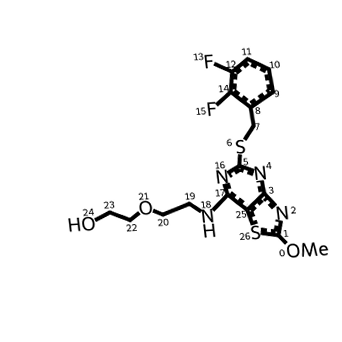 COc1nc2nc(SCc3cccc(F)c3F)nc(NCCOCCO)c2s1